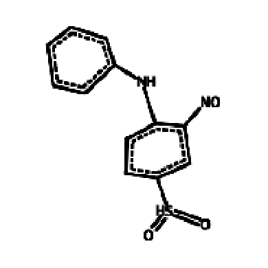 O=Nc1cc([SH](=O)=O)ccc1Nc1ccccc1